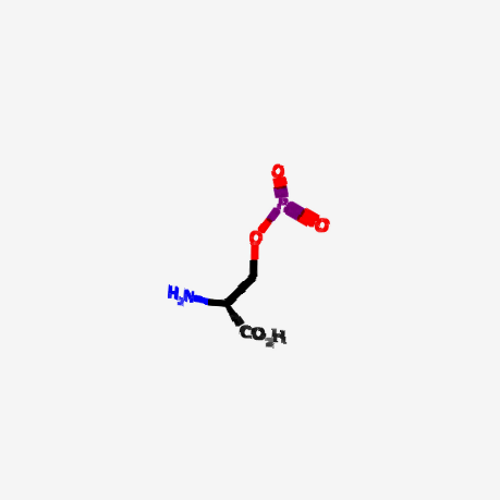 N[C@@H](COP(=O)=O)C(=O)O